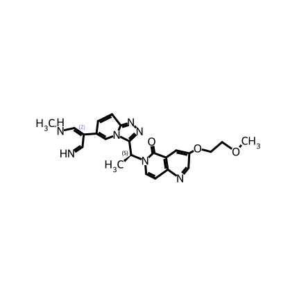 CN/C=C(\C=N)c1ccc2nnc([C@H](C)n3ccc4ncc(OCCOC)cc4c3=O)n2c1